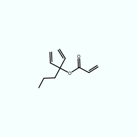 C=CC(=O)OC(C=C)(C=C)CCC